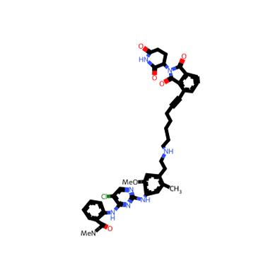 CNC(=O)c1ccccc1Nc1nc(Nc2cc(C)c(CCNCCCCCC#Cc3cc#cc4c3C(=O)N(C3CCC(=O)NC3=O)C4=O)cc2OC)ncc1Cl